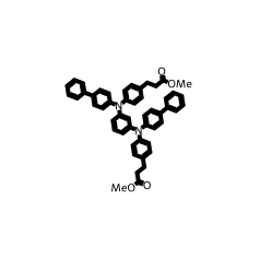 COC(=O)CCc1ccc(N(c2ccc(-c3ccccc3)cc2)c2cccc(N(c3ccc(CCC(=O)OC)cc3)c3ccc(-c4ccccc4)cc3)c2)cc1